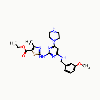 CCOC(=O)c1sc(Nc2nc(NCc3cccc(OC)c3)cc(N3CCNCC3)n2)nc1C